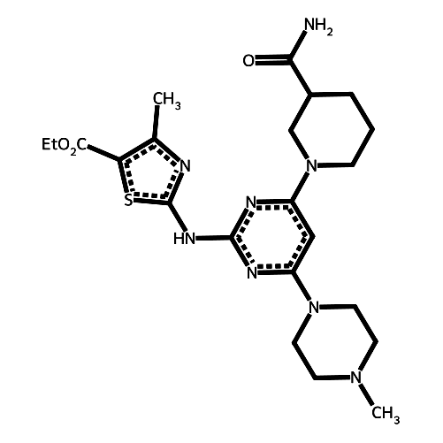 CCOC(=O)c1sc(Nc2nc(N3CCN(C)CC3)cc(N3CCCC(C(N)=O)C3)n2)nc1C